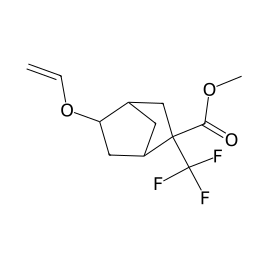 C=COC1CC2CC1CC2(C(=O)OC)C(F)(F)F